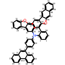 c1ccc(N(c2ccc(-c3cc4ccccc4c4ccccc34)cc2)c2ccc3oc4ccccc4c3c2)c(-c2cccc3c2oc2cc4ccccc4cc23)c1